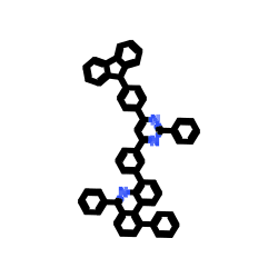 c1ccc(-c2nc(-c3ccc(C4c5ccccc5-c5ccccc54)cc3)cc(-c3cccc(-c4cccc5c4nc(-c4ccccc4)c4cccc(-c6ccccc6)c45)c3)n2)cc1